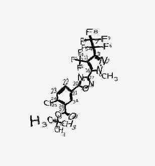 Cn1nc(C(F)(F)C(F)(F)F)c(C(F)(F)F)c1-c1noc(-c2ccc(Cl)c(C(=O)OC(C)(C)C)c2)n1